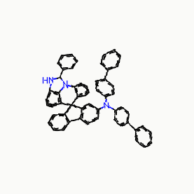 c1ccc(-c2ccc(N(c3ccc(-c4ccccc4)cc3)c3ccc4c(c3)C3(c5ccccc5-4)c4ccccc4N4c5c(cccc53)NC4c3ccccc3)cc2)cc1